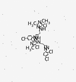 Cc1nc(C)c(Cl)c(NCCc2cnn(-c3ccc(Cl)cc3-c3nc(C)c(Cl)c(NCCc4cnn(-c5ccc(Cl)cc5Cl)c4)n3)c2)n1